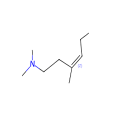 CC/C=C(/C)CCN(C)C